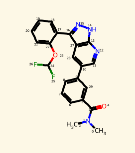 CN(C)C(=O)c1cccc(-c2cnc3[nH]nc(-c4ccccc4OC(F)F)c3c2)c1